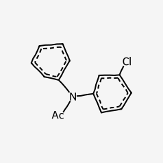 CC(=O)N(c1ccccc1)c1cccc(Cl)c1